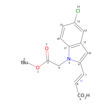 CC(C)(C)OC(=O)Cn1c(/C=C/C(=O)O)cc2cc(Cl)ccc21